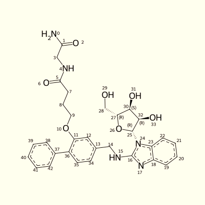 NC(=O)CNC(=O)CCCOc1cc(CNc2nc3ccccc3n2[C@@H]2O[C@H](CO)[C@@H](O)[C@H]2O)ccc1-c1ccccc1